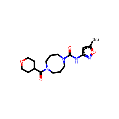 CC(C)(C)c1cc(NC(=O)N2CCCN(C(=O)C3CCOCC3)CCC2)no1